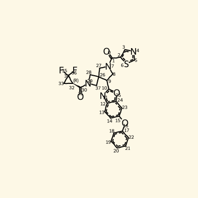 O=C(c1cncs1)N1CC(c2nc3ccc(Oc4ccccc4)cc3o2)C2(C1)CN(C(=O)[C@H]1CC1(F)F)C2